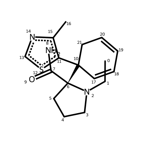 CCN1CCC[C@@]1(C(N)=O)C1(c2scnc2C)C=CC=CC1